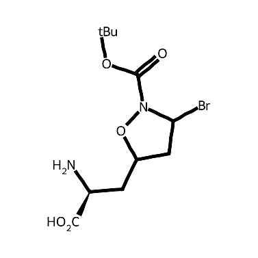 CC(C)(C)OC(=O)N1OC(C[C@H](N)C(=O)O)CC1Br